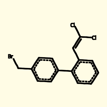 ClC(Cl)=Cc1ccccc1-c1ccc(CBr)cc1